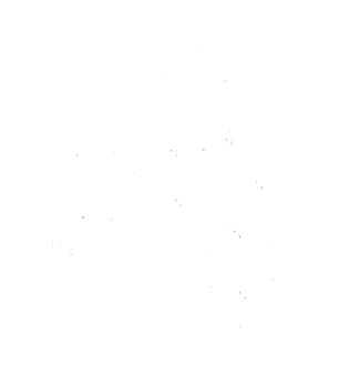 Cc1nc(N2CCN(C)CC2)c2nc(-c3ccccc3Cl)n(CC3CCOC3)c2n1.Cl